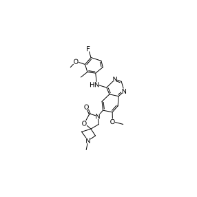 COc1cc2ncnc(Nc3ccc(F)c(OC)c3C)c2cc1N1CC2(CN(C)C2)OC1=O